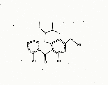 COC(C(C)C)C1c2cccc(O)c2C(=O)c2c(O)cc(CO)cc21